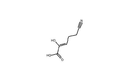 N#CCCC=C(O)C(=O)O